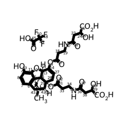 CN1CC[C@]23c4c5ccc(O)c4O[C@H]2C(OC(=O)CCNC(=O)CC(O)C(=O)O)=CC[C@@]3(OC(=O)CCNC(=O)CC(O)C(=O)O)[C@H]1C5.O=C(O)C(F)(F)F